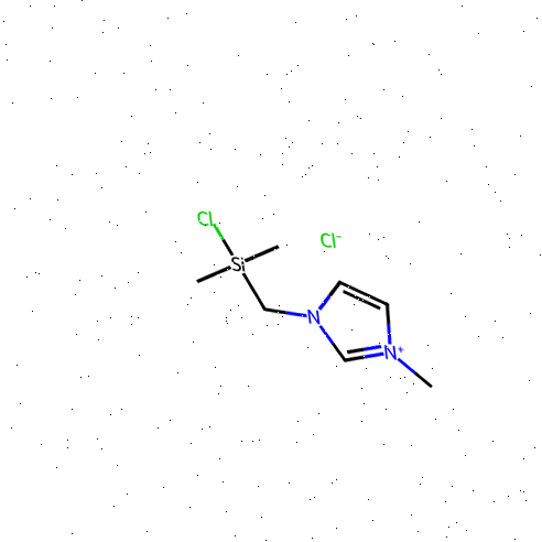 C[n+]1ccn(C[Si](C)(C)Cl)c1.[Cl-]